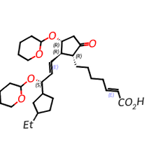 CCC1CCC([C@@H](/C=C/[C@H]2[C@H](OC3CCCCO3)CC(=O)[C@@H]2CCCC/C=C/C(=O)O)OC2CCCCO2)C1